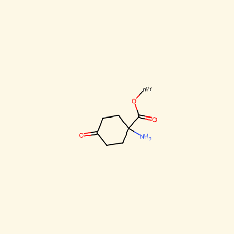 CCCOC(=O)C1(N)CCC(=O)CC1